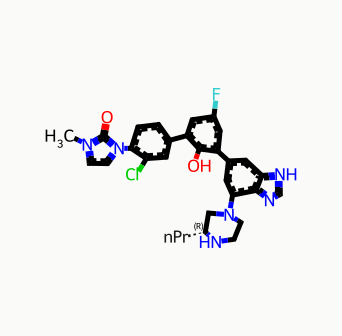 CCC[C@@H]1CN(c2cc(-c3cc(F)cc(-c4ccc(-n5ccn(C)c5=O)c(Cl)c4)c3O)cc3[nH]cnc23)CCN1